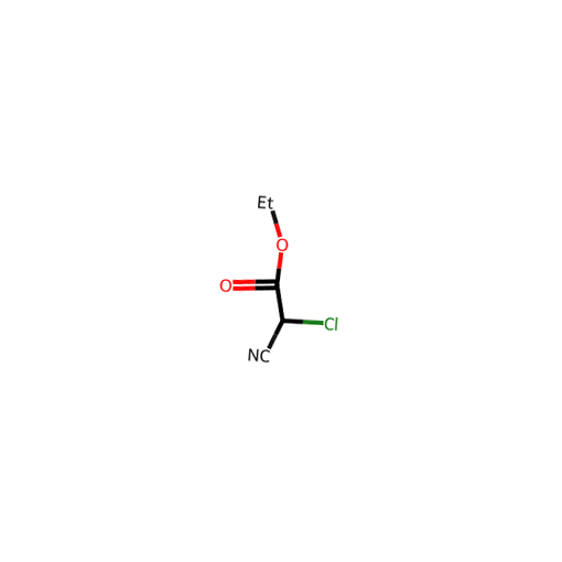 CCOC(=O)C(Cl)C#N